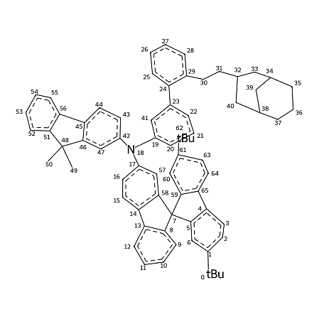 CC(C)(C)c1ccc2c(c1)C1(c3ccccc3-c3ccc(N(c4cccc(-c5ccccc5CCC5CC6CCCC(C6)C5)c4)c4ccc5c(c4)C(C)(C)c4ccccc4-5)cc31)c1cc(C(C)(C)C)ccc1-2